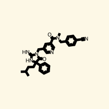 CC(C)CCC1(c2ccccc2)NC(=N)N(Cc2cncc(C(=O)N(C)Cc3ccc(C#N)cc3)c2)C1=O